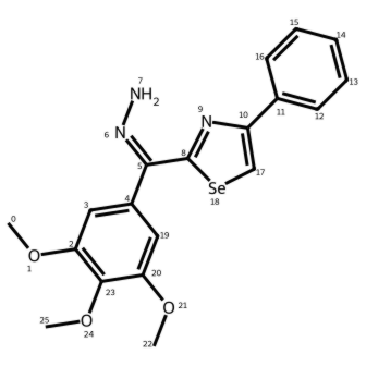 COc1cc(C(=NN)c2nc(-c3ccccc3)c[se]2)cc(OC)c1OC